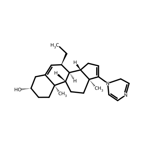 CC[C@@H]1C=C2C[C@@H](O)CC[C@]2(C)[C@H]2CC[C@]3(C)C(N4C=CN=CC4)=CC[C@H]3[C@H]12